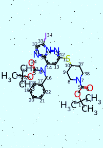 CC(C)(C)OC(=O)N1CCC(Sc2cc(N(Cc3ccccc3)C(=O)OC(C)(C)C)c3ncc(I)n3n2)CC1